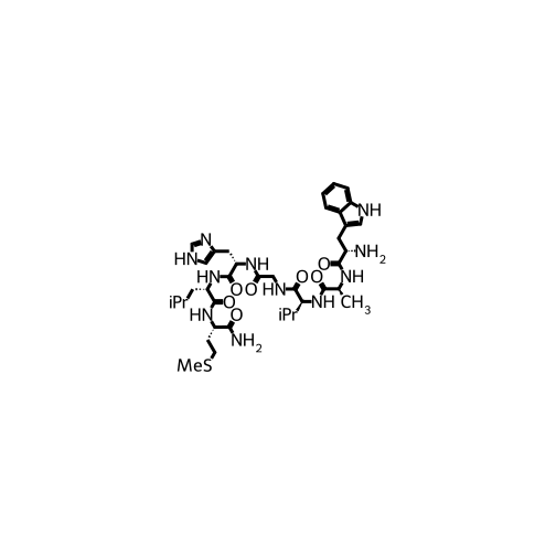 CSCC[C@H](NC(=O)[C@H](CC(C)C)NC(=O)[C@H](Cc1c[nH]cn1)NC(=O)CNC(=O)[C@@H](NC(=O)[C@H](C)NC(=O)[C@@H](N)Cc1c[nH]c2ccccc12)C(C)C)C(N)=O